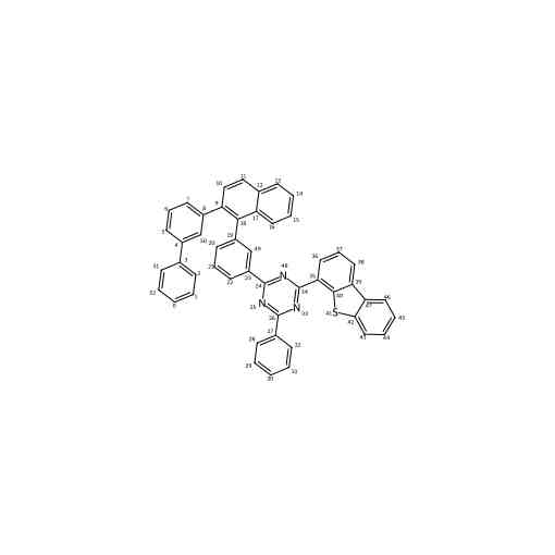 c1ccc(-c2cccc(-c3ccc4ccccc4c3-c3cccc(-c4nc(-c5ccccc5)nc(-c5cccc6c5sc5ccccc56)n4)c3)c2)cc1